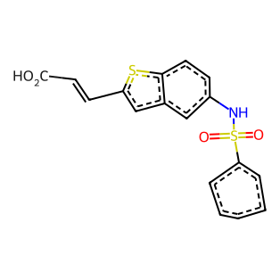 O=C(O)C=Cc1cc2cc(NS(=O)(=O)c3ccccc3)ccc2s1